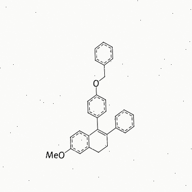 COc1ccc2c(c1)CCC(c1ccccc1)=C2c1ccc(OCc2ccccc2)cc1